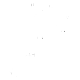 CC(C)(C)c1cc(Br)c(O)c(CNCCNCCCN)c1